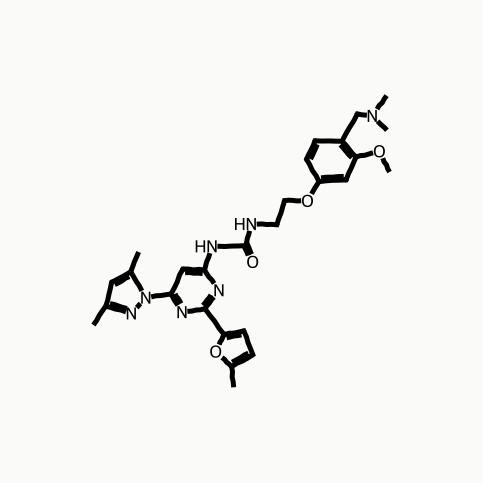 COc1cc(OCCNC(=O)Nc2cc(-n3nc(C)cc3C)nc(-c3ccc(C)o3)n2)ccc1CN(C)C